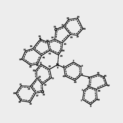 c1ccc2c(-c3ccc(N(c4ccc5c(c4)oc4ccccc45)c4cc5c6ccccc6oc5c5sc6ccccc6c45)cc3)cccc2c1